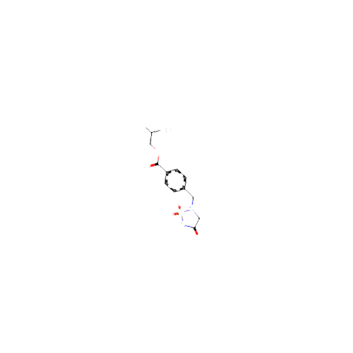 CC(C)COC(=O)c1ccc(CN2CC(=O)NS2(=O)=O)cc1